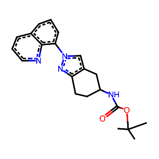 CC(C)(C)OC(=O)NC1CCc2nn(-c3cccc4cccnc34)cc2C1